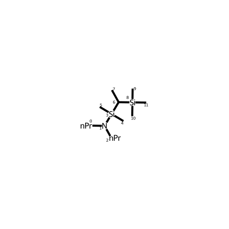 CCCN(CCC)[Si](C)(C)C(C)[Si](C)(C)C